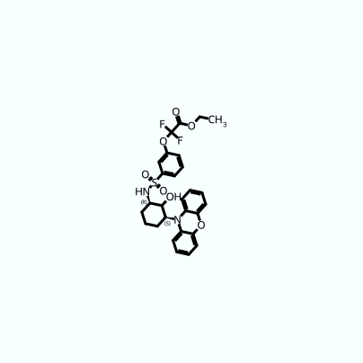 CCOC(=O)C(F)(F)Oc1cccc(S(=O)(=O)N[C@@H]2CCC[C@H](N3c4ccccc4Oc4ccccc43)C2O)c1